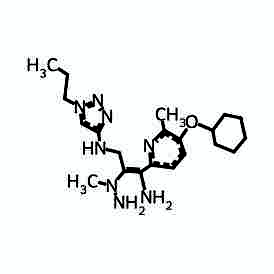 CCCn1cc(NC/C(=C(/N)c2ccc(OC3CCCCC3)c(C)n2)N(C)N)nn1